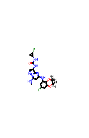 [2H]C1([2H])Oc2cc(F)cc(Nc3cc(NC)n4ncc(NC(=O)N[C@@H]5C[C@@H]5F)c4n3)c2OC1([2H])[2H]